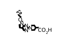 C[Si](C)(C)CCOCn1ccc2cnc(N3CCC(CC(=O)O)CC3)nc21